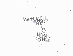 CCc1nc(C(N)=O)c(Nc2cccc(CCNC(=O)C(C)N(C)C(=O)/C=C/CNC)c2)nc1C1CC1